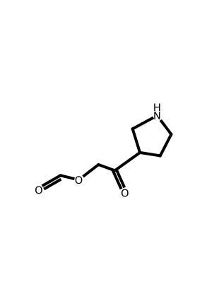 O=COCC(=O)C1CCNC1